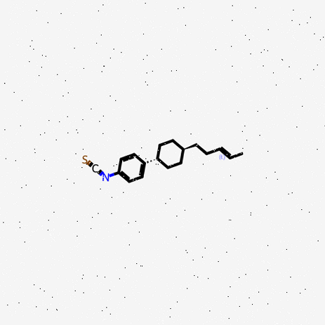 C/C=C/CC[C@H]1CC[C@H](c2ccc(N=C=S)cc2)CC1